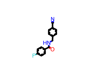 N#Cc1ccc(CNC(=O)c2ccc(F)cc2)cc1